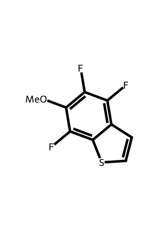 COc1c(F)c(F)c2ccsc2c1F